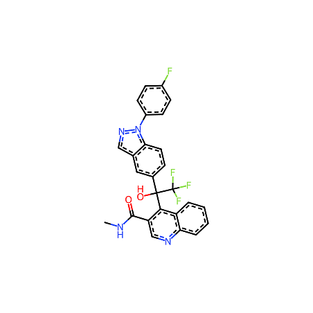 CNC(=O)c1cnc2ccccc2c1C(O)(c1ccc2c(cnn2-c2ccc(F)cc2)c1)C(F)(F)F